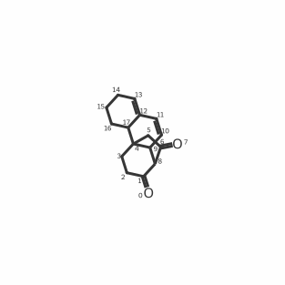 O=C1CCC23CC(=O)C1C2C=CC1=CCCCC13